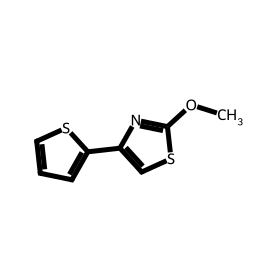 COc1nc(-c2cccs2)cs1